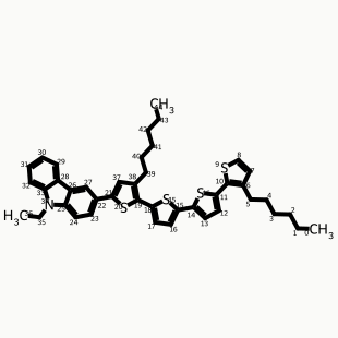 CCCCCCc1ccsc1-c1ccc(-c2ccc(-c3sc(-c4ccc5c(c4)c4ccccc4n5CC)cc3CCCCCC)s2)s1